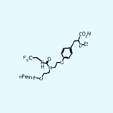 CCCCCOCCN(CCOc1ccc(CC(OCC)C(=O)O)cc1)C(=O)NCC(F)(F)F